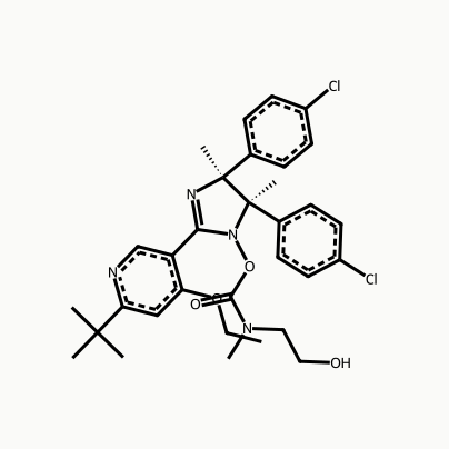 CCOc1cc(C(C)(C)C)ncc1C1=N[C@@](C)(c2ccc(Cl)cc2)[C@@](C)(c2ccc(Cl)cc2)N1OC(=O)N(C)CCO